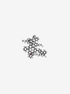 Cc1cc2c3c(c1)N(c1cccc4c1OCO4)c1ccc(C(C)(C)C)cc1B3c1ccc(N(c3ccccc3)c3ccccc3)cc1N2c1cc(-c2ccc3c(c2)C(C)(C)c2ccccc2-3)cc(-c2cc3ccccc3o2)c1